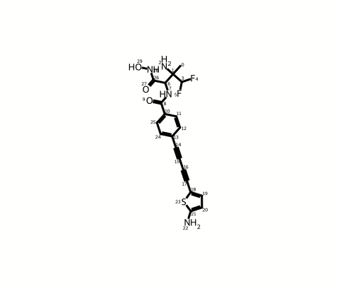 CC(N)(C(F)F)C(NC(=O)c1ccc(C#CC#Cc2ccc(N)s2)cc1)C(=O)NO